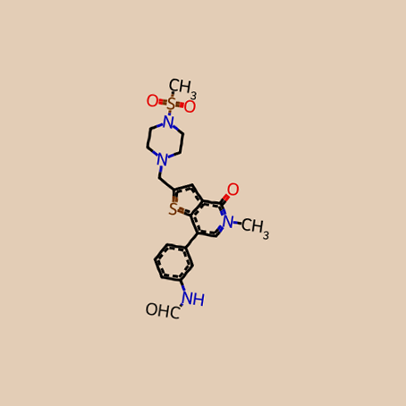 Cn1cc(-c2cccc(NC=O)c2)c2sc(CN3CCN(S(C)(=O)=O)CC3)cc2c1=O